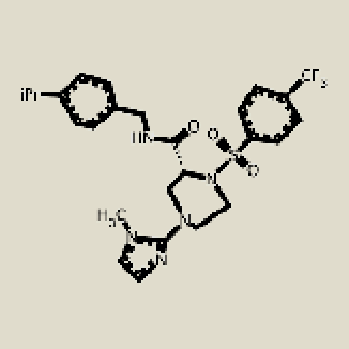 CC(C)c1ccc(CNC(=O)[C@H]2CN(c3nccn3C)CCN2S(=O)(=O)c2ccc(C(F)(F)F)cc2)cc1